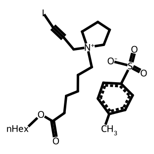 CCCCCCOC(=O)CCCCC[N+]1(CC#CI)CCCC1.Cc1ccc(S(=O)(=O)[O-])cc1